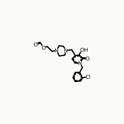 O=COCCN1CCN(Cc2ccn(Cc3ccccc3Cl)c(=O)c2O)CC1